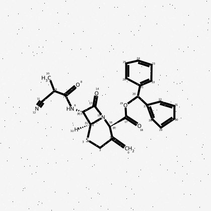 C=C1CS[C@H]2[C@H](NC(=O)C(C)C#N)C(=O)N2[C@H]1C(=O)OC(c1ccccc1)c1ccccc1